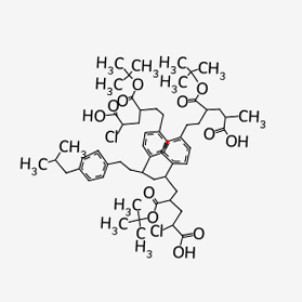 CC(C)Cc1ccc(CCC(CC(CC(CC(Cl)C(=O)O)C(=O)OC(C)(C)C)c2ccc(CCC(CC(C)C(=O)O)C(=O)OC(C)(C)C)cc2)c2ccc(CCC(CC(Cl)C(=O)O)C(=O)OC(C)(C)C)cc2)cc1